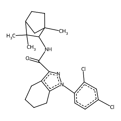 CC12CCC(C1)C(C)(C)C2NC(=O)c1nn(-c2ccc(Cl)cc2Cl)c2c1CCCC2